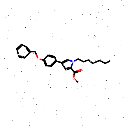 CCCCCCCn1cc(-c2ccc(OCc3ccccc3)cc2)cc1C(=O)OC